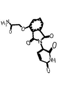 NC(=O)COc1cccc2c1C(=O)N(C1C=CC(=O)NC1=O)C2=O